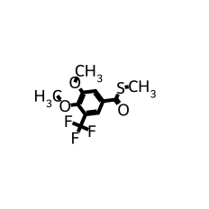 COc1cc(C(=O)SC)cc(C(F)(F)F)c1OC